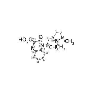 C[C@H]1CC[C@@H](C[C@H](C)n2c(=O)c(C(=O)O)nc3ccccc32)N1C